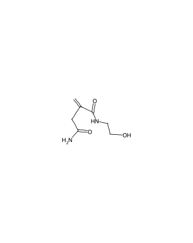 C=C(CC(N)=O)C(=O)NCCO